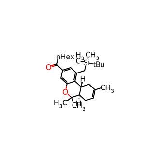 CCCCCCC(=O)c1cc(C[Si](C)(C)C(C)(C)C)c2c(c1)OC(C)(C)[C@@H]1CC=C(C)C[C@@H]21